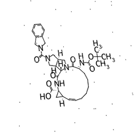 CC(C)(C)OC(=O)N[C@@H]1CCCCC/C=C\[C@H]2C[C@@]2(C(=O)O)NC(=O)[C@@H]2[C@H]3CN(C(=O)N4Cc5ccccc5C4)C[C@H]3CN2C1=O